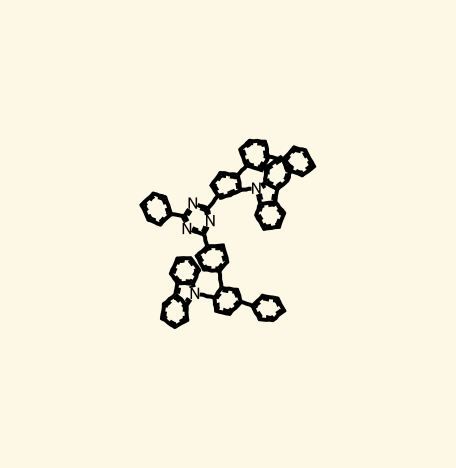 c1ccc(-c2cccc(-c3ccc(-c4nc(-c5ccccc5)nc(-c5ccc(-c6cc(-c7ccccc7)ccc6-n6c7ccccc7c7ccccc76)cc5)n4)cc3-n3c4ccccc4c4ccccc43)c2)cc1